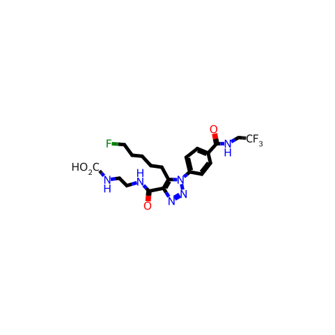 O=C(O)NCCNC(=O)c1nnn(-c2ccc(C(=O)NCC(F)(F)F)cc2)c1CCCCCF